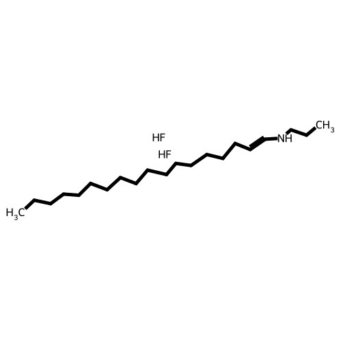 CCCCCCCCCCCCCCCCC=CNCCC.F.F